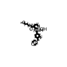 COCCCNC(=O)c1ccnc2[nH]c(-c3ccc(CN4CCOCC4)c(F)c3)nc12.Cl